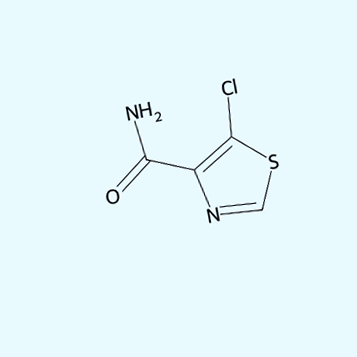 NC(=O)c1ncsc1Cl